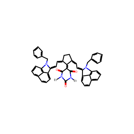 CCN1C(=O)C(=C2/C(=C\C=c3\c4cccc5cccc(c54)n3Cc3ccccc3)CC/C2=C/C=c2/c3cccc4cccc(c43)n2Cc2ccccc2)C(=O)N(CC)C1=O